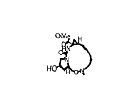 COC(=O)[C@@]12C[C@@H]1/C=C\CCCCN(C)OC[C@@H]1C[C@@H](O)CN1C(=O)N2